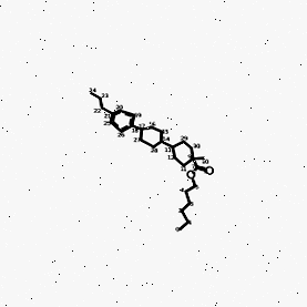 CCCCCCOC(=O)C1(C)CCC(C2CCC(c3ccc(CCC)cc3)CC2)CC1